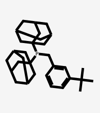 CC(C)(C)c1cccc(CP(C23CC4CC(CC(C4)C2)C3)C23CC4CC(CC(C4)C2)C3)c1